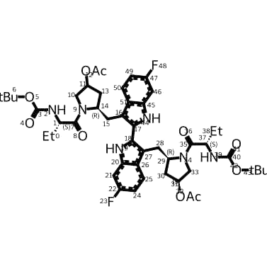 CC[C@H](NC(=O)OC(C)(C)C)C(=O)N1CC(OC(C)=O)C[C@H]1Cc1c(-c2[nH]c3cc(F)ccc3c2C[C@@H]2C[C@H](OC(C)=O)CN2C(=O)[C@H](CC)NC(=O)OC(C)(C)C)[nH]c2cc(F)ccc12